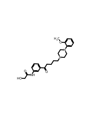 COc1ccccc1N1CCN(CCCCC(=O)c2cccc(NC(=O)CO)c2)CC1